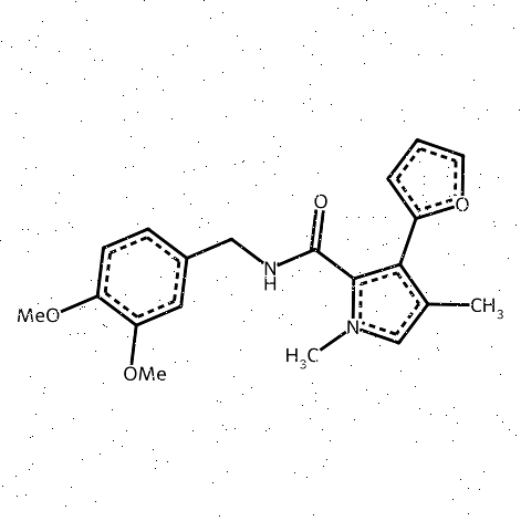 COc1ccc(CNC(=O)c2c(-c3ccco3)c(C)cn2C)cc1OC